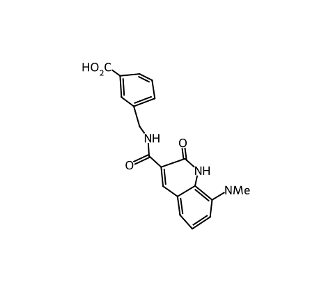 CNc1cccc2cc(C(=O)NCc3cccc(C(=O)O)c3)c(=O)[nH]c12